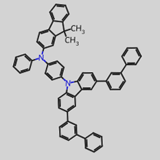 CC1(C)c2ccccc2-c2ccc(N(c3ccccc3)c3ccc(-n4c5ccc(-c6cccc(-c7ccccc7)c6)cc5c5cc(-c6cccc(-c7ccccc7)c6)ccc54)cc3)cc21